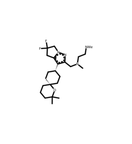 CNCCN(C)Cc1nn2c(c1[C@H]1CC[C@]3(CCCC(C)(C)O3)CC1)CC(F)(F)C2